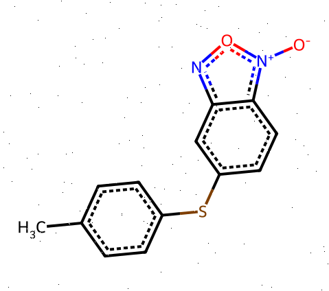 Cc1ccc(Sc2ccc3c(c2)no[n+]3[O-])cc1